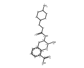 NC1CCC(CCC(=O)NC2Cc3cccc(C(=O)O)c3OB2O)CC1